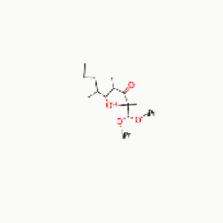 C=CCC(C)C(O)C(C)C(=O)C(C)(C)C(OC(C)C)OC(C)C